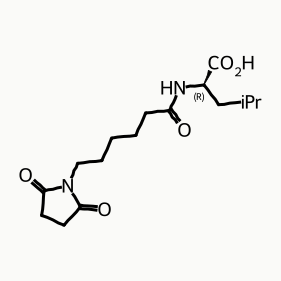 CC(C)C[C@@H](NC(=O)CCCCCN1C(=O)CCC1=O)C(=O)O